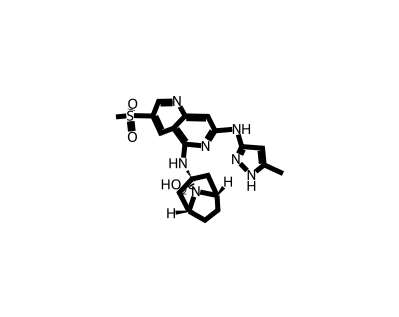 Cc1cc(Nc2cc3ncc(S(C)(=O)=O)cc3c(N[C@H]3C[C@H]4CC[C@@H](C3)N4C(=O)O)n2)n[nH]1